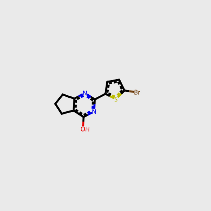 Oc1nc(-c2ccc(Br)s2)nc2c1CCC2